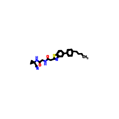 CCCCc1ccc(-c2ccc3sc(CC(=O)NCC(=O)NC4(C#N)CC4)nc3c2)cc1